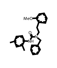 COc1ccccc1CCN(Cc1ccccc1)C(=O)Nc1ccc(C)cc1C